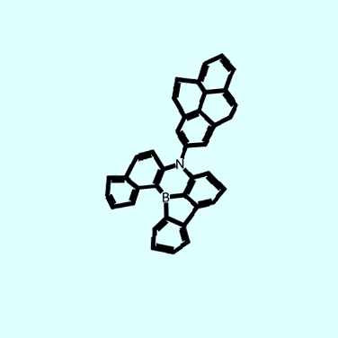 C1=CC2=CCc3cc(N4c5cccc6c5B(c5ccccc5-6)c5c4ccc4ccccc54)cc4c3C2C(=C1)C=C4